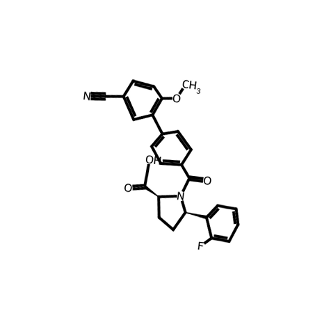 COc1ccc(C#N)cc1-c1ccc(C(=O)N2[C@@H](c3ccccc3F)CC[C@H]2C(=O)O)cc1